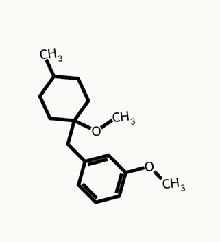 COc1cccc(CC2(OC)CCC(C)CC2)c1